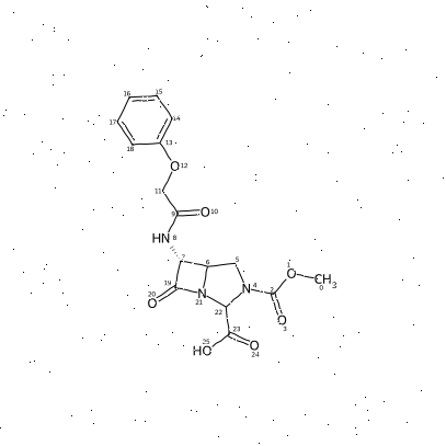 COC(=O)N1CC2[C@@H](NC(=O)COc3ccccc3)C(=O)N2C1C(=O)O